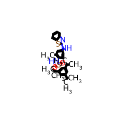 Cc1cc(Nc2nc3ccccc3s2)ccc1NS(=O)(=O)c1c(C(C)C)cc(C(C)C)cc1C(C)C